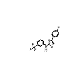 Fc1ccc(-c2csc(Nc3cc[c]c(C(F)(F)F)c3)n2)cc1